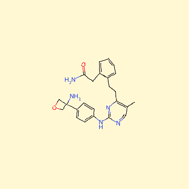 Cc1cnc(Nc2ccc(C3(N)COC3)cc2)nc1CCc1ccccc1CC(N)=O